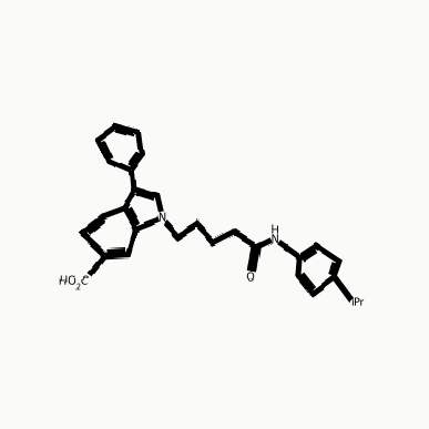 CC(C)c1ccc(NC(=O)CCCCn2cc(-c3ccccc3)c3ccc(C(=O)O)cc32)cc1